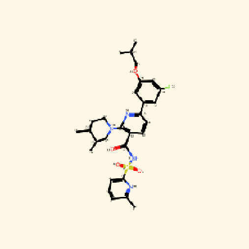 Cc1cccc(S(=O)(=O)NC(=O)c2ccc(-c3cc(F)cc(OCC(C)C)c3)nc2N2CCC(C)C(C)C2)n1